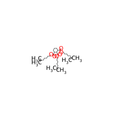 CC(C)CCCCCOC(=O)C1CCCC(C(=O)OCCCCCC(C)C)C1C(=O)OCCCCCC(C)C